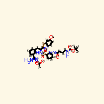 COc1ccc2nc(C(Cc3cccc(C(N)=NOC(C)=O)c3)NS(=O)(=O)c3cccc(NC(=O)CCCNC(=O)OC(C)(C)C)c3)sc2c1